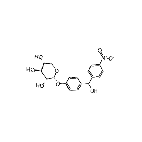 O=[N+]([O-])c1ccc(C(O)c2ccc(O[C@H]3OC[C@@H](O)[C@H](O)[C@H]3O)cc2)cc1